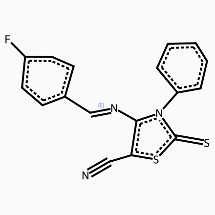 N#Cc1sc(=S)n(-c2ccccc2)c1/N=C/c1ccc(F)cc1